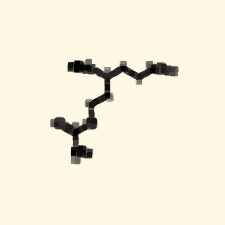 CCCCCCCCCCCCC(CCCCCCCCCC)CCOC(=O)CCCC